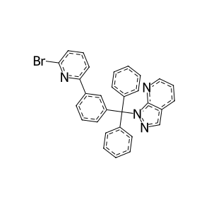 Brc1cccc(-c2cccc(C(c3ccccc3)(c3ccccc3)n3ncc4cccnc43)c2)n1